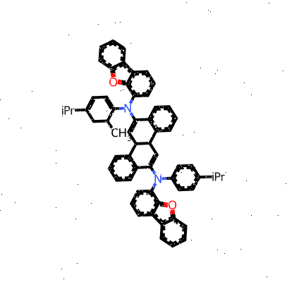 CC(C)C1=CC=C(N(C2=CC3c4ccccc4C(N(c4ccc(C(C)C)cc4)c4cccc5c4oc4ccccc45)=CC3c3ccccc32)c2cccc3c2oc2ccccc23)C(C)C1